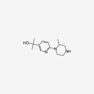 CC1CNCCN1c1ccc(C(C)(C)O)cn1